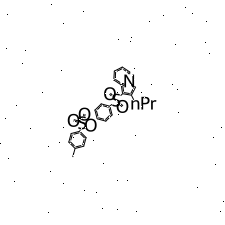 CCCc1cn2ccccc2c1S(=O)(=O)c1ccc(OS(=O)(=O)c2ccc(C)cc2)cc1